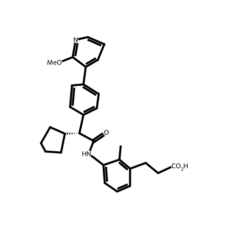 COc1ncccc1-c1ccc([C@H](C(=O)Nc2cccc(CCC(=O)O)c2C)C2CCCC2)cc1